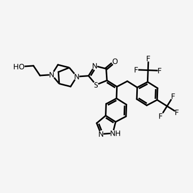 O=C1N=C(N2CC3CC2CN3CCO)SC1=C(Cc1ccc(C(F)(F)F)cc1C(F)(F)F)c1ccc2[nH]ncc2c1